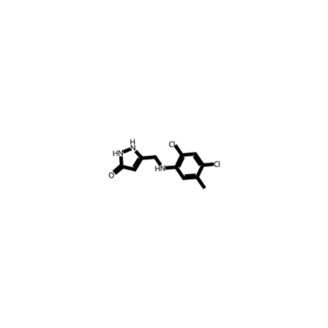 Cc1cc(NCc2cc(=O)[nH][nH]2)c(Cl)cc1Cl